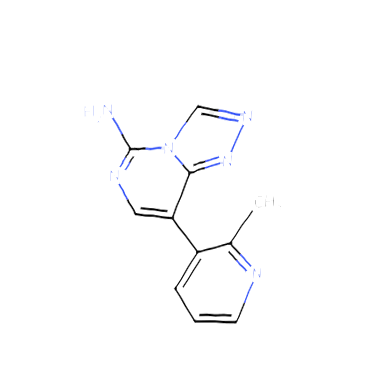 Cc1ncccc1-c1cnc(N)n2cnnc12